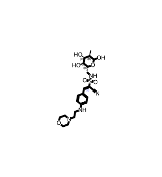 C[C@H]1C(O)O[C@H](CNS(=O)(=O)/C(C#N)=C/c2ccc(NCCN3CCOCC3)cc2)[C@@H](O)[C@@H]1O